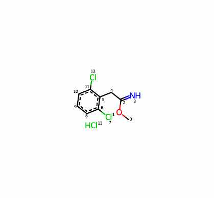 COC(=N)Cc1c(Cl)cccc1Cl.Cl